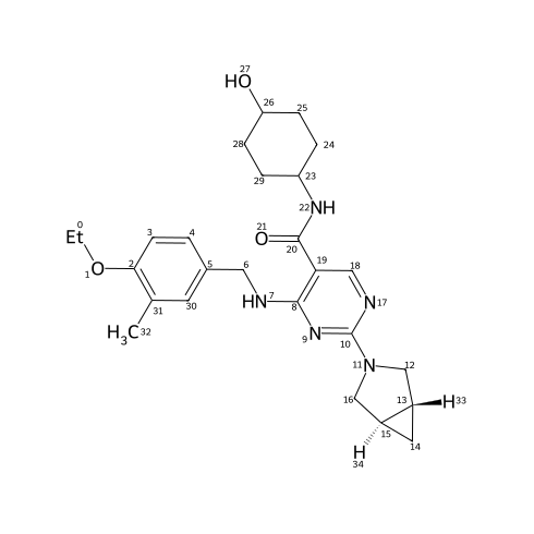 CCOc1ccc(CNc2nc(N3C[C@@H]4C[C@H]4C3)ncc2C(=O)NC2CCC(O)CC2)cc1C